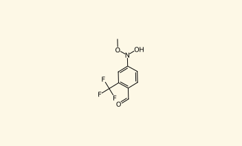 CON(O)c1ccc(C=O)c(C(F)(F)F)c1